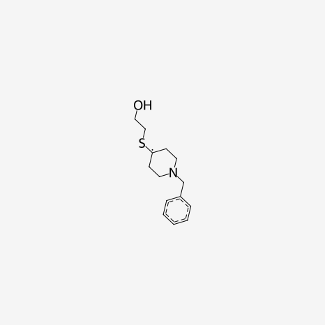 OCCS[C]1CCN(Cc2ccccc2)CC1